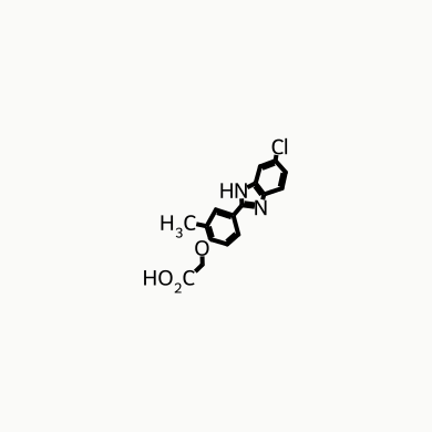 Cc1cc(-c2nc3ccc(Cl)cc3[nH]2)ccc1OCC(=O)O